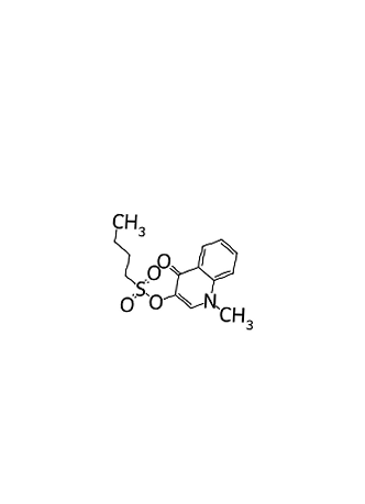 CCCCS(=O)(=O)Oc1cn(C)c2ccccc2c1=O